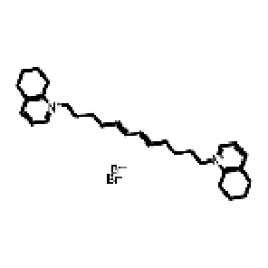 C(C=CCCCC[n+]1cccc2c1CCCC2)=CCCCC[n+]1cccc2c1CCCC2.[Br-].[Br-]